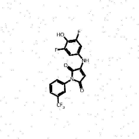 O=C1C=C(Nc2cc(F)c(O)c(F)c2)C(=O)N1c1cccc(C(F)(F)F)c1